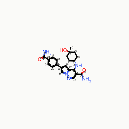 C[C@]1(O)CC[C@@H](Nc2c(C(N)=O)cnn3cc(-c4ccc(C(N)=O)cc4)cc23)CC1